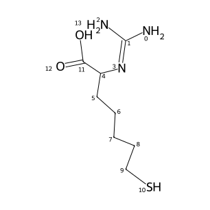 NC(N)=NC(CCCCCS)C(=O)O